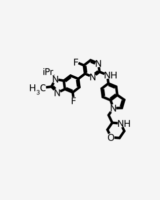 Cc1nc2c(F)cc(-c3nc(Nc4ccc5c(ccn5CC5COCCN5)c4)ncc3F)cc2n1C(C)C